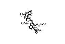 COCCc1nc2c(N)nc3ccccc3c2n1CCCN(Cc1cccc(OCC(=O)OC(C)C)c1)C(=O)CN(C)CCOC